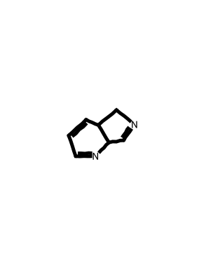 C1=CC2CN=CC2N=C1